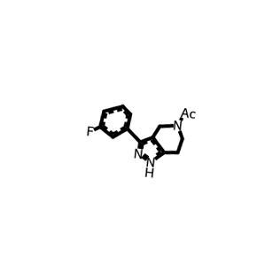 CC(=O)N1CCc2[nH]nc(-c3cccc(F)c3)c2C1